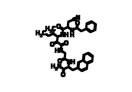 CCC(C)C(NC(=O)C(CC#N)NC(=O)Cc1ccccc1)C(=O)C(=O)NCC(=O)NC(Cc1ccc2ccccc2c1)C(N)=O